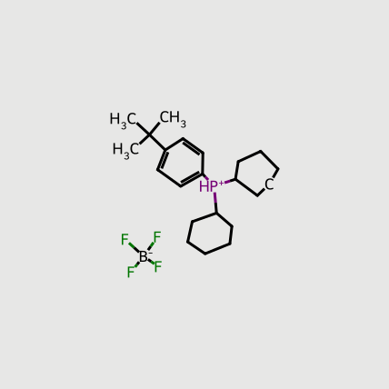 CC(C)(C)c1ccc([PH+](C2CCCCC2)C2CCCCC2)cc1.F[B-](F)(F)F